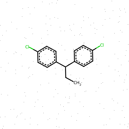 [CH2]CC(c1ccc(Cl)cc1)c1ccc(Cl)cc1